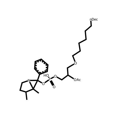 CCCCCCCCCCCCCCCCOCC(COP(=O)(O)OC1(c2ccccc2)N2CCC(C)C21C)OC(C)=O